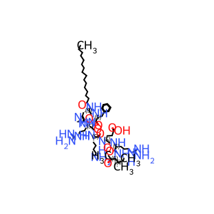 CCCCCCCCCCCCCCCC(=O)N[C@@H](Cc1c[nH]cn1)C(=O)N[C@@H](Cc1ccccc1)C(=O)N[C@@H](CCCNC(=N)N)C(=O)N[C@@H](CCCCN)C(=O)N[C@@H](CCC(=O)O)C(=O)N[C@@H](CCCNC(=N)N)C(=O)N[C@H](C(C)=O)[C@@H](C)CC